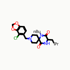 CCCCN1C(=O)C(CC(C)C)NC(=O)C12CCN(Cc1ccc3c(c1Cl)OCO3)CC2